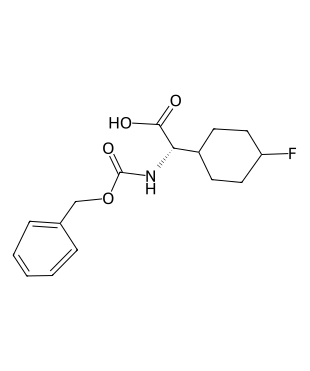 O=C(N[C@H](C(=O)O)C1CCC(F)CC1)OCc1ccccc1